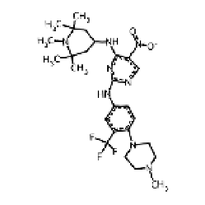 CN1CCN(c2ccc(Nc3ncc([N+](=O)[O-])c(NC4CC(C)(C)N(C)C(C)(C)C4)n3)cc2C(F)(F)F)CC1